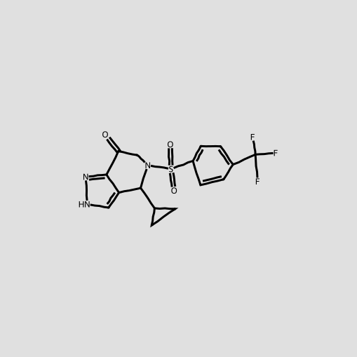 O=C1CN(S(=O)(=O)c2ccc(C(F)(F)F)cc2)C(C2CC2)c2c[nH]nc21